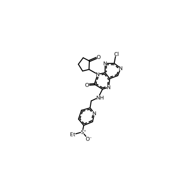 CC[S+]([O-])c1ccc(CNc2nc3cnc(Cl)nc3n(C3CCCC3=O)c2=O)nc1